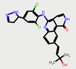 CC(C)(O)/C=C/c1ccc2nc(Nc3c(Cl)cc(C4CC=NN4)cc3Cl)c3cc[nH]c(=O)c3c2c1